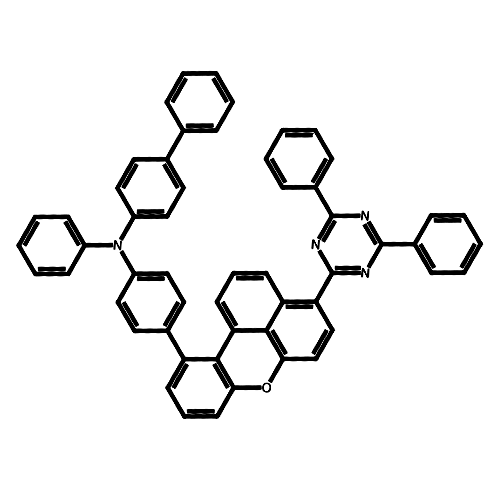 c1ccc(-c2ccc(N(c3ccccc3)c3ccc(-c4cccc5c4-c4cccc6c(-c7nc(-c8ccccc8)nc(-c8ccccc8)n7)ccc(c46)O5)cc3)cc2)cc1